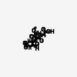 CONC(=O)/C(C(=O)NCC(=O)O)=C(/O)[C@@]1(C)CS(=O)(=O)CC1C